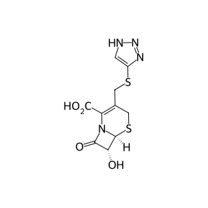 O=C(O)C1=C(CSc2c[nH]nn2)CS[C@H]2[C@H](O)C(=O)N12